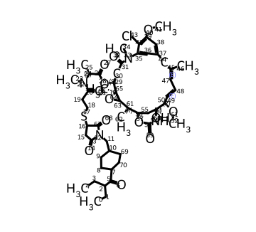 CCC(CC)C(=O)C1CCC(CN2C(=O)CC(SCCC(=O)N(C)[C@@H](C)C(=O)O[C@H]3CC(=O)N(C)c4cc(cc(OC)c4Cl)C/C(C)=C/C=C/[C@@H](OC)[C@@]4(O)CC(OC(=O)N4)[C@@H](C)C4O[C@]43C)C2=O)CC1